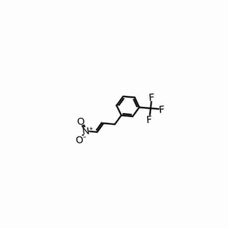 O=[N+]([O-])C=CCc1cccc(C(F)(F)F)c1